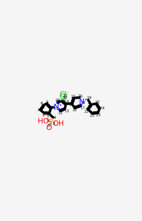 O=P(O)(O)Cc1ccccc1-[n+]1ccc(-c2cc[n+](Cc3ccccc3)cc2)cc1.[Cl-].[Cl-]